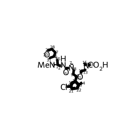 CN[C@H](CNC(=O)N(C)CCC(OCCN(C)C(=O)O)c1cc(Cl)ccc1C)C[C@H]1CCCOC1